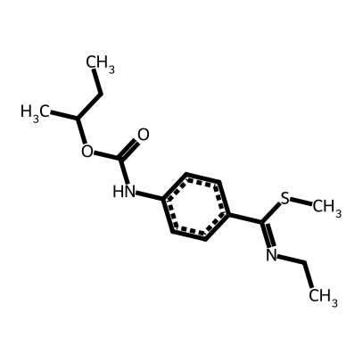 CC/N=C(\SC)c1ccc(NC(=O)OC(C)CC)cc1